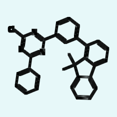 CC1(C)c2ccccc2-c2cccc(-c3cccc(-c4nc(Cl)nc(-c5ccccc5)n4)c3)c21